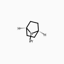 CC(C)N1[C@H]2CC[C@@H]1CC2